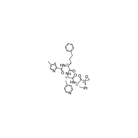 Cc1cnc(C(=O)N[C@@H](CCCc2ccccc2)C(=O)N[C@@H](Cc2ccncc2)C(=O)N[C@@H](CC(C)C)C(=O)[C@@]2(C)CO2)s1